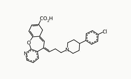 O=C(O)C1=CC=C2Oc3ncccc3C(=CCCN3CCC(c4ccc(Cl)cc4)CC3)C=C2C1